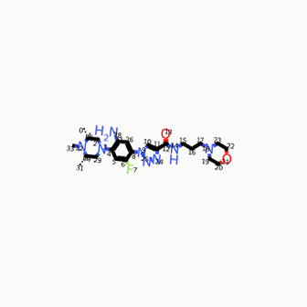 C[C@@H]1CN(c2cc(F)c(-n3cc(C(=O)NCCCN4CCOCC4)nn3)cc2N)C[C@H](C)N1C